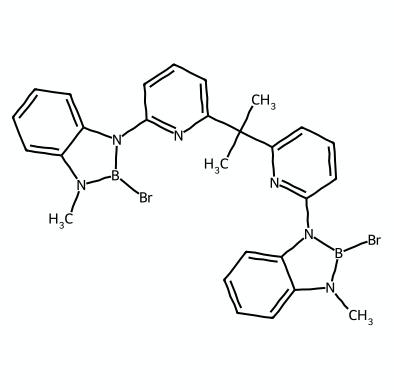 CN1B(Br)N(c2cccc(C(C)(C)c3cccc(N4B(Br)N(C)c5ccccc54)n3)n2)c2ccccc21